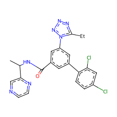 CCc1nnnn1-c1cc(C(=O)NC(C)c2cnccn2)cc(-c2ccc(Cl)cc2Cl)c1